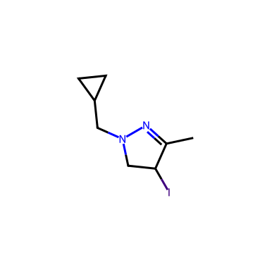 CC1=NN(CC2CC2)CC1I